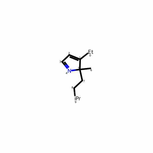 CCC1=CC=NC1(C)CCC(C)C